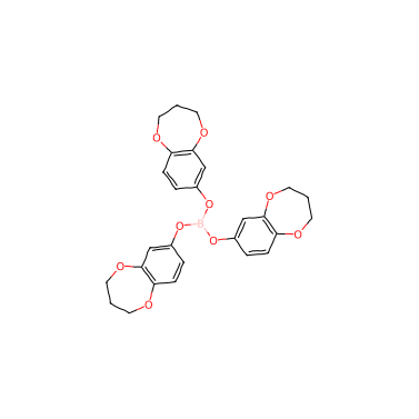 c1cc2c(cc1OB(Oc1ccc3c(c1)OCCCO3)Oc1ccc3c(c1)OCCCO3)OCCCO2